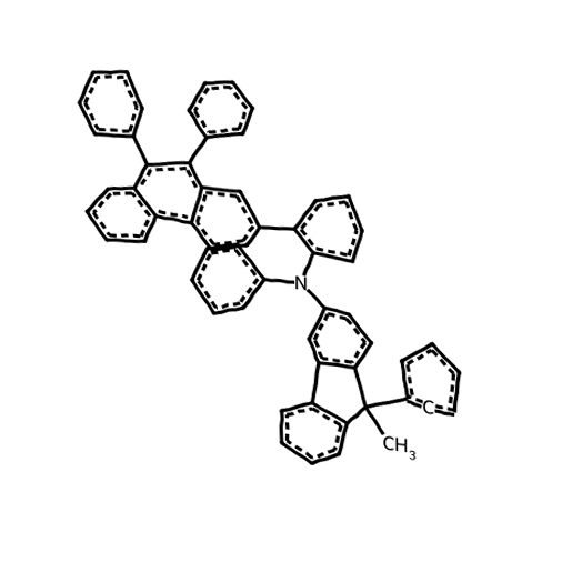 CC1(c2ccccc2)c2ccccc2-c2cc(N(c3ccccc3)c3ccccc3-c3ccc4c(c3)c(-c3ccccc3)c(-c3ccccc3)c3ccccc34)ccc21